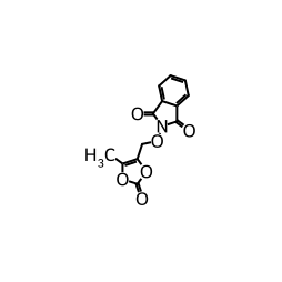 Cc1oc(=O)oc1CON1C(=O)c2ccccc2C1=O